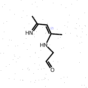 CC(=N)/C=C(/C)NCC=O